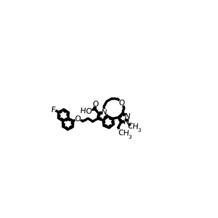 CCc1c2c(nn1C)COCCCCn1c(C(=O)O)c(CCCOc3cccc4cc(F)ccc34)c3cccc-2c31